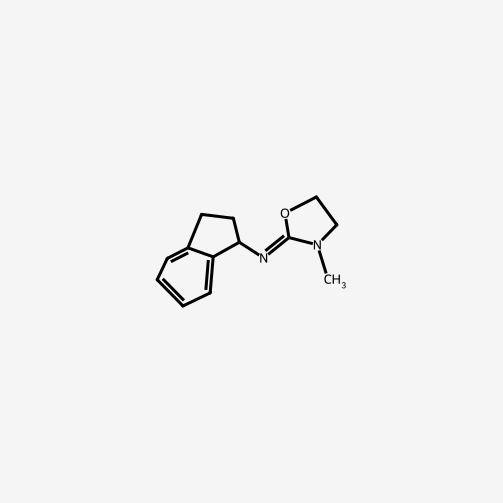 CN1CCOC1=NC1CCc2ccccc21